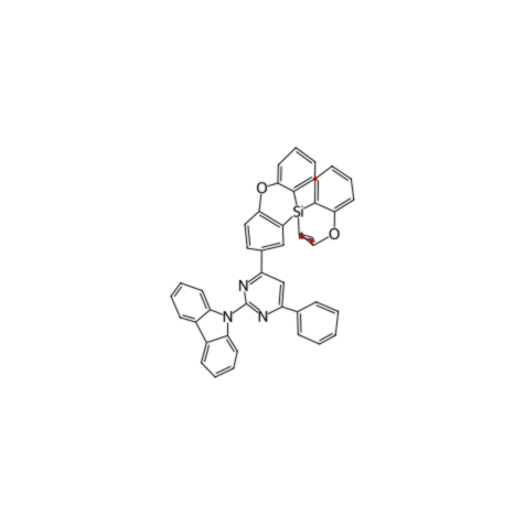 c1ccc(-c2cc(-c3ccc4c(c3)[Si]3(c5ccccc5Oc5ccccc53)c3ccccc3O4)nc(-n3c4ccccc4c4ccccc43)n2)cc1